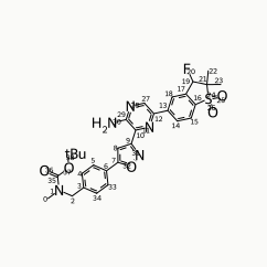 CN(Cc1ccc(-c2cc(-c3nc(-c4ccc5c(c4)C(F)C(C)(C)S5(=O)=O)cnc3N)no2)cc1)C(=O)OC(C)(C)C